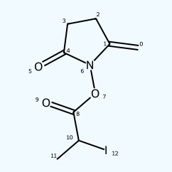 C=C1CCC(=O)N1OC(=O)C(C)I